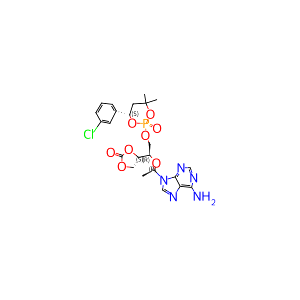 C[C@@H](O[C@H](COP1(=O)O[C@H](c2cccc(Cl)c2)CC(C)(C)O1)[C@@H]1COC(=O)O1)n1cnc2c(N)ncnc21